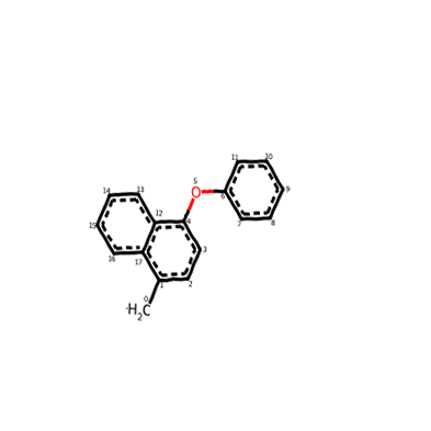 [CH2]c1ccc(Oc2ccccc2)c2ccccc12